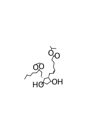 CCCCCC1(CC[C@@H]2[C@@H](C/C=C\CCCC(=O)OC(C)C)[C@@H](O)C[C@H]2O)OCCO1